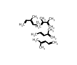 C=C(C)C(=C)C.C=C(C)C=CC.C=CC(C)=CC.C=CC=C(C)C